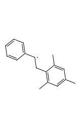 Cc1cc(C)c(C[CH]c2ccccc2)c(C)c1